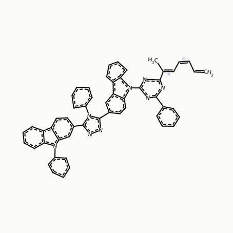 C=C/C=C\C=C(/C)c1nc(-c2ccccc2)nc(-n2c3ccccc3c3cc(-c4nnc(-c5ccc6c7ccccc7n(-c7ccccc7)c6c5)n4-c4ccccc4)ccc32)n1